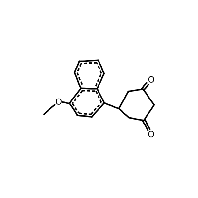 COc1ccc(C2CC(=O)CC(=O)C2)c2ccccc12